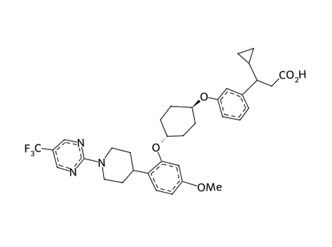 COc1ccc(C2CCN(c3ncc(C(F)(F)F)cn3)CC2)c(O[C@H]2CC[C@H](Oc3cccc(C(CC(=O)O)C4CC4)c3)CC2)c1